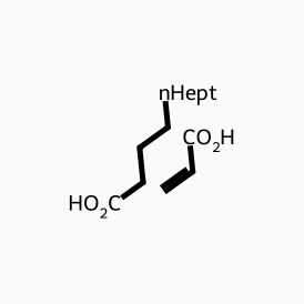 C=CC(=O)O.CCCCCCCCCCC(=O)O